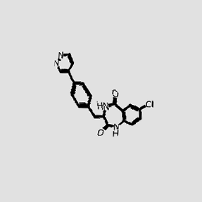 O=C1NC(Cc2ccc(-c3ccnnc3)cc2)C(=O)Nc2ccc(Cl)cc21